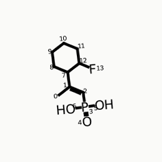 CC(=CP(=O)(O)O)C1CCCCC1F